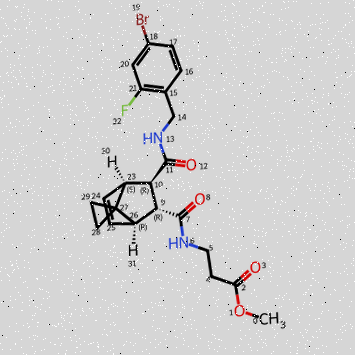 COC(=O)CCNC(=O)[C@H]1[C@H](C(=O)NCc2ccc(Br)cc2F)[C@@H]2C=C[C@H]1C21CC1